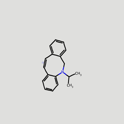 CC(C)N1Cc2ccccc2/C=C\c2ccccc21